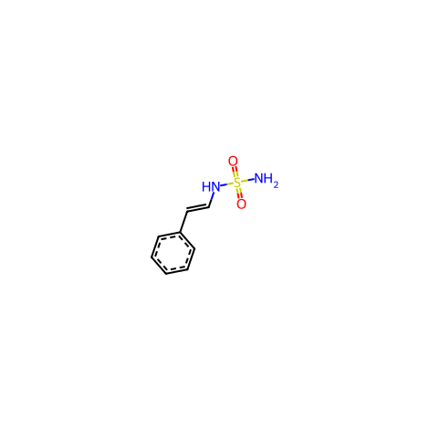 NS(=O)(=O)NC=Cc1ccccc1